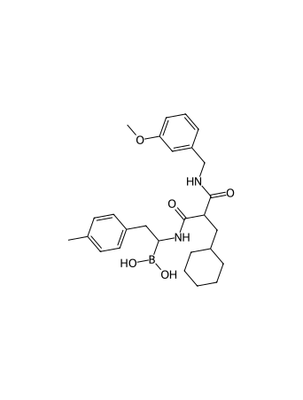 COc1cccc(CNC(=O)C(CC2CCCCC2)C(=O)NC(Cc2ccc(C)cc2)B(O)O)c1